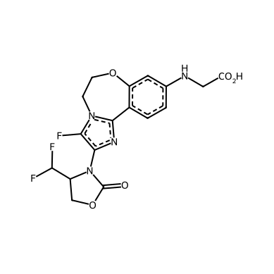 O=C(O)CNc1ccc2c(c1)OCCn1c-2nc(N2C(=O)OCC2C(F)F)c1F